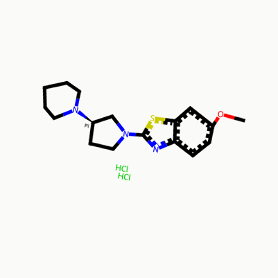 COc1ccc2nc(N3CC[C@@H](N4CCCCC4)C3)sc2c1.Cl.Cl